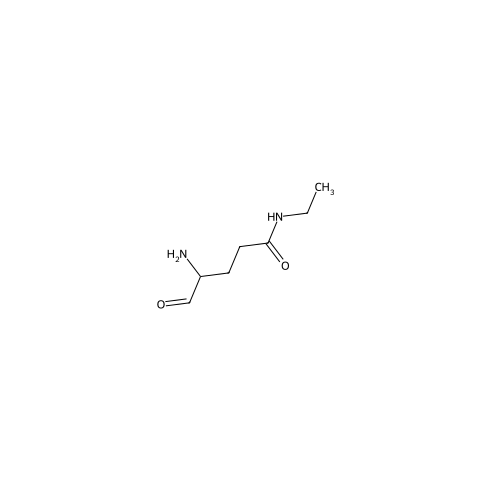 CCNC(=O)CCC(N)C=O